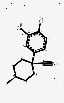 C[C@H]1CC[C@](C#N)(c2ccc(Cl)c(Cl)c2)CC1